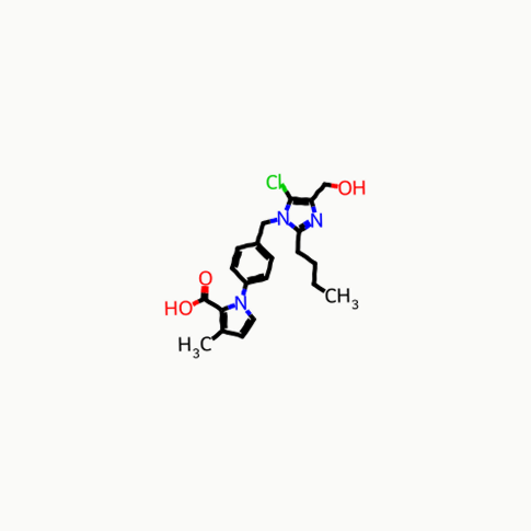 CCCCc1nc(CO)c(Cl)n1Cc1ccc(-n2ccc(C)c2C(=O)O)cc1